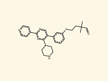 CC(C)(C=O)CCOc1cccc(-c2cnc(-c3ccncc3)nc2C2CCNCC2)c1